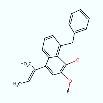 C/C=C(\C(=O)O)c1cc(OCC)c(O)c2c(Cc3ccccc3)cccc12